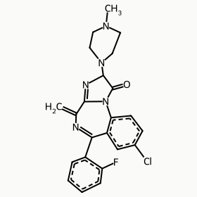 C=C1N=C(c2ccccc2F)c2cc(Cl)ccc2N2C(=O)C(N3CCN(C)CC3)N=C12